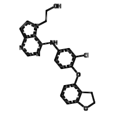 OCCn1ccc2ncnc(Nc3ccc(Oc4cccc5c4CCO5)c(Cl)c3)c21